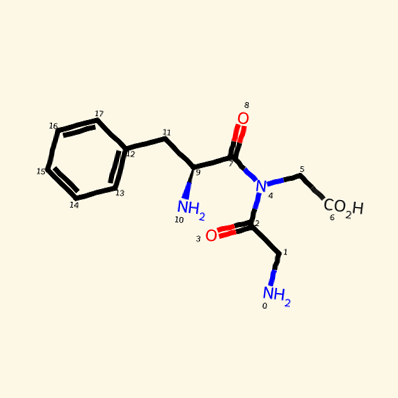 NCC(=O)N(CC(=O)O)C(=O)[C@@H](N)Cc1ccccc1